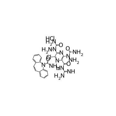 Cl.N=C(N)NC(=O)c1nc(Cl)c(N(N)C(N)=O)nc1N(N)C(N)=O.NC(=O)N1c2ccccc2C=Cc2ccccc21